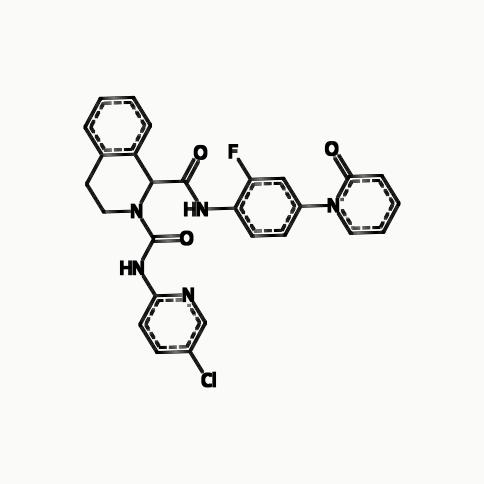 O=C(Nc1ccc(-n2ccccc2=O)cc1F)C1c2ccccc2CCN1C(=O)Nc1ccc(Cl)cn1